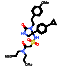 COCCN(CCOC)C(=O)CS(=O)(=O)NC1(c2ccc(C3CC3)cc2)CNC(=O)N1CCc1ccc(OC)cc1